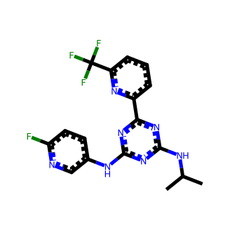 CC(C)Nc1nc(Nc2ccc(F)nc2)nc(-c2cccc(C(F)(F)F)n2)n1